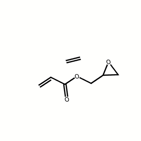 C=C.C=CC(=O)OCC1CO1